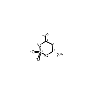 CC(C)[C@H]1C[C@H](C(C)C)OS(=O)(=O)O1